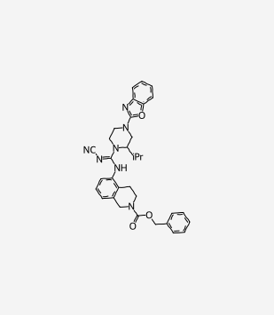 CC(C)C1CN(c2nc3ccccc3o2)CCN1C(=NC#N)Nc1cccc2c1CCN(C(=O)OCc1ccccc1)C2